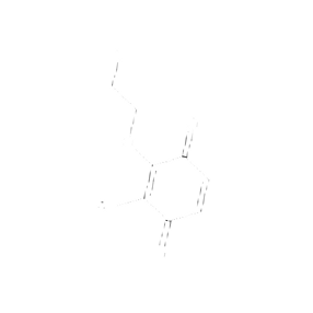 CC(=O)C1=C(OCCCl)C(=O)C=CC1=O